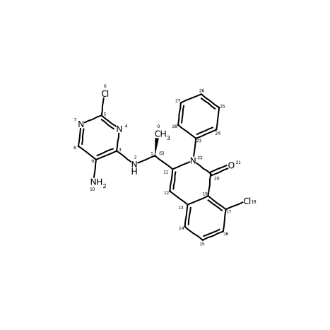 C[C@H](Nc1nc(Cl)ncc1N)c1cc2cccc(Cl)c2c(=O)n1-c1ccccc1